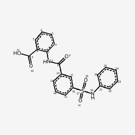 O=C(Nc1ccccc1C(=O)O)c1cccc(S(=O)(=O)Nc2ccccc2)c1